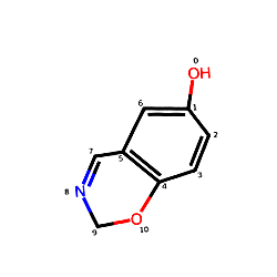 Oc1ccc2c(c1)C=NCO2